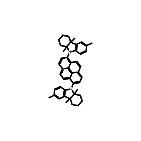 Cc1ccc2c(c1)C1(C)CCCCC1(C)N2c1ccc2ccc3c(N4c5ccc(C)cc5C5(C)CCCCC45C)ccc4ccc1c2c43